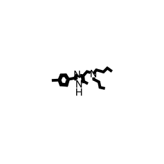 CCCCN(CCCC)Cc1nc(-c2ccc(C)cc2)[nH]c1C